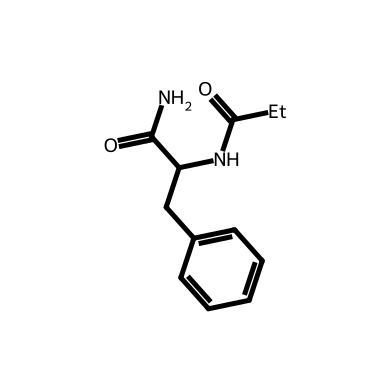 CCC(=O)NC(Cc1ccccc1)C(N)=O